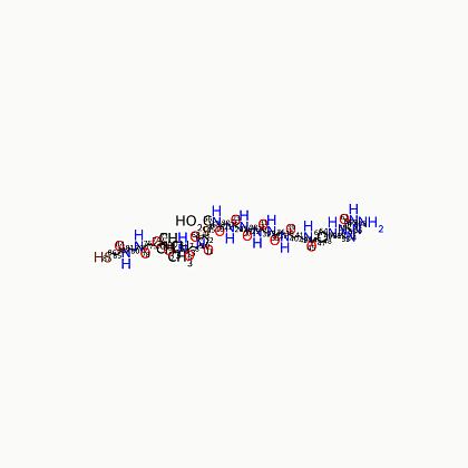 CC(C)(CNC(=O)CCN1C(=O)CC(SC[C@@H](NC(=O)CNC(=O)CNC(=O)CNC(=O)CNC(=O)CNC(=O)CCCNC(=O)c2ccc(NCc3cnc4nc(N)[nH]c(=O)c4n3)cc2)C(=O)O)C1=O)OCC(C)(C)OCCC(=O)NCCNC(=O)CCS